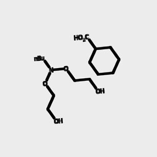 CCCCN(OCCO)OCCO.O=C(O)C1CCCCC1